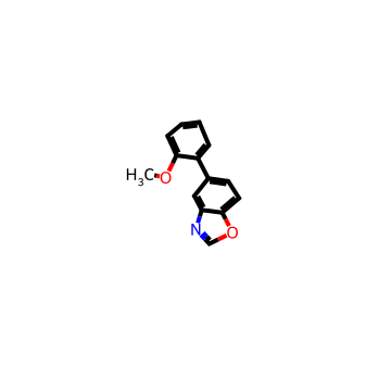 COc1ccccc1-c1ccc2ocnc2c1